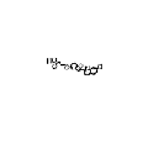 O=C(O)CCCOc1ccc2oc(-c3ccc4ccc(Cl)cc4n3)cc2c1